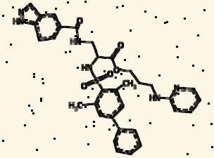 Cc1cc(-c2ccccc2)cc(C)c1S(=O)(=O)NC(CNC(=O)c1ccc2[nH]ncc2c1)C(=O)OCCCNc1ccccn1